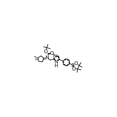 C[C@@H]1CC[C@H](N(Cc2ncc(-c3ccc(B4OC(C)(C)C(C)(C)O4)cc3)[nH]2)C(=O)OC(C)(C)C)C1